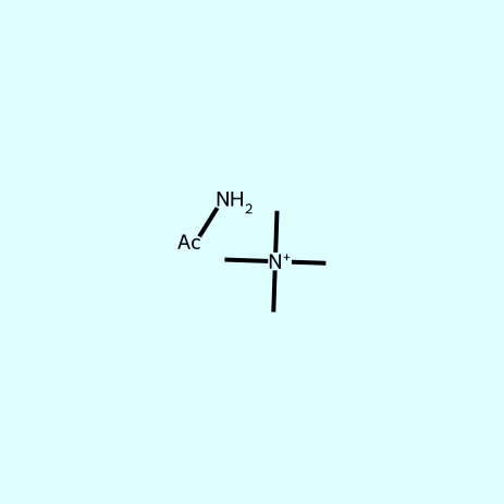 CC(N)=O.C[N+](C)(C)C